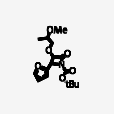 COC(C)COC1C(=O)N(C(=O)OC(C)(C)C)C1c1ccco1